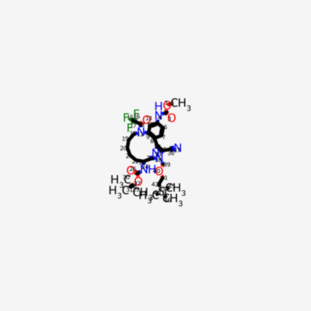 COC(=O)Nc1ccc2c(c1)N(C(=O)C(F)(F)F)CCCCCC(NC(=O)OC(C)(C)C)c1nc-2c(C#N)n1COCC[Si](C)(C)C